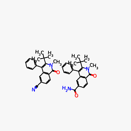 Cn1c(C(C)(C)C)c(-c2ccccc2)c2cc(C#N)ccc2c1=O.Cn1c(C(C)(C)C)c(-c2ccccc2)c2cc(C(N)=O)ccc2c1=O